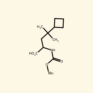 CC(C)(C)OC(=O)NC(CC(C)(C)C1CCC1)C(=O)O